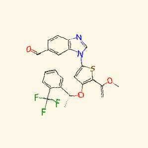 C=C(OC)c1sc(-n2cnc3ccc(C=O)cc32)cc1O[C@H](C)c1ccccc1C(F)(F)F